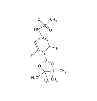 CC1(C)OB(c2c(F)cc(NS(C)(=O)=O)cc2F)OC1(C)C